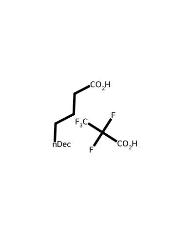 CCCCCCCCCCCCCC(=O)O.O=C(O)C(F)(F)C(F)(F)F